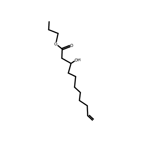 C=CCCCCCCC(O)CC(=O)OCCC